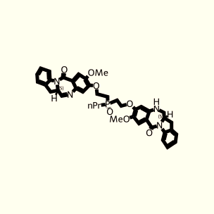 CCCP(=O)(CCOc1cc2c(cc1OC)C(=O)N1c3ccccc3C[C@H]1C=N2)CCOc1cc2c(cc1OC)C(=O)N1c3ccccc3C[C@H]1CN2